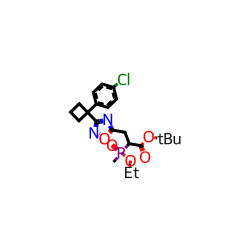 CCOP(C)(=O)C(Cc1nc(C2(c3ccc(Cl)cc3)CCC2)no1)C(=O)OC(C)(C)C